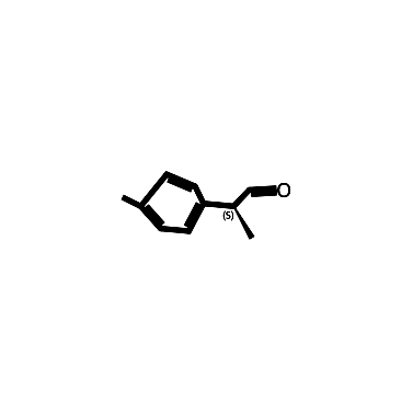 Cc1ccc([C@H](C)C=O)cc1